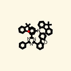 CC1(C)c2ccccc2-c2ccc(N(c3ccc4oc5cccc(-c6nc(-c7ccccc7)nc(-c7ccccc7)n6)c5c4c3)c3cccc4c3-c3ccccc3C4(C)C)cc21